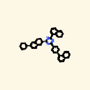 c1ccc(-c2ccc3cc(-c4nc(-c5ccc(-c6cccc7ccccc67)cc5)nc(-c5cccc6ccccc56)n4)ccc3c2)cc1